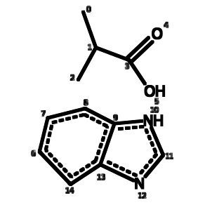 CC(C)C(=O)O.c1ccc2[nH]cnc2c1